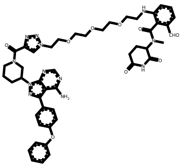 CN(C(=O)c1c(C=O)cccc1NCCOCCOCCOCCn1cc(C(=O)N2CCCC(n3nc(-c4ccc(Oc5ccccc5)cc4)c4c(N)ncnc43)C2)nn1)C1CCC(=O)NC1=O